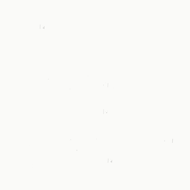 COc1cc(Br)ccc1COc1cc(C(=O)c2cccc(C)c2)c(Oc2c(Br)cc(CC(=O)O)cc2Br)cc1C(C)C